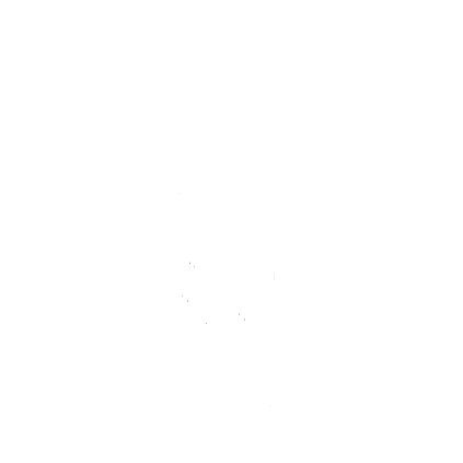 Cc1cccc(C(C)C)c1CNC(=O)n1[nH]c2c(C(=O)OC(c3ccccc3)c3ccccc3)cccc2c1=O